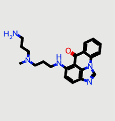 CN(CCCN)CCCNc1ccc2ncn3c4ccccc4c(=O)c1c23